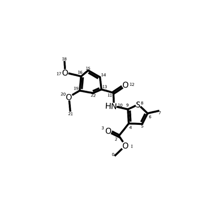 COC(=O)c1cc(C)sc1NC(=O)c1ccc(OC)c(OC)c1